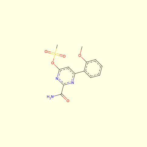 COc1ccccc1-c1cc(OS(C)(=O)=O)nc(C(N)=O)n1